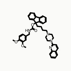 COc1ccc(CNC(=O)OC2(CCCCN3CCN(c4ccc5ccccc5n4)CC3)c3ccccc3-c3ccccc32)cc1OC